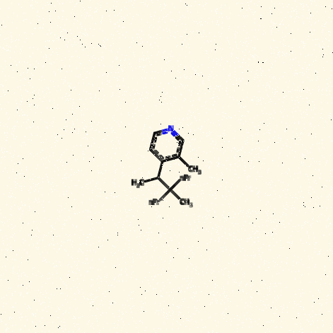 CCCC(C)(CCC)C(C)c1ccncc1C